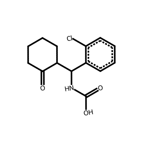 O=C(O)NC(c1ccccc1Cl)C1CCCCC1=O